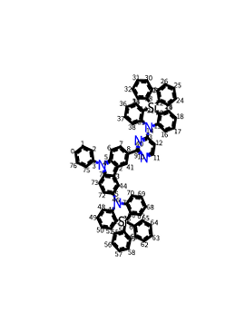 c1ccc(-n2c3ccc(-c4nccc(N5c6ccccc6[Si](c6ccccc6)(c6ccccc6)c6ccccc65)n4)cc3c3cc(N4c5ccccc5[Si](c5ccccc5)(c5ccccc5)c5ccccc54)ccc32)cc1